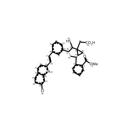 COC(=O)c1ccccc1CC[C@H](c1cccc(/C=C/c2ccc3ccc(Cl)cc3n2)c1)C(S)C1(CC(=O)O)CC1